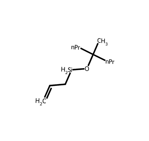 C=CC[SiH2]OC(C)(CCC)CCC